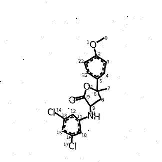 COc1ccc(C2(C)CC(Nc3cc(Cl)cc(Cl)c3)C(=O)O2)cc1